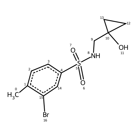 Cc1ccc(S(=O)(=O)NCC2(O)CC2)cc1Br